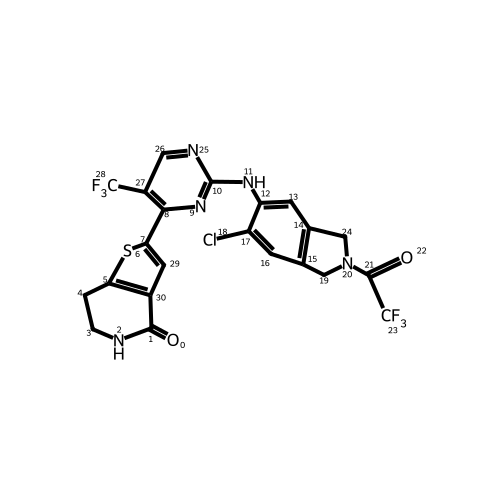 O=C1NCCc2sc(-c3nc(Nc4cc5c(cc4Cl)CN(C(=O)C(F)(F)F)C5)ncc3C(F)(F)F)cc21